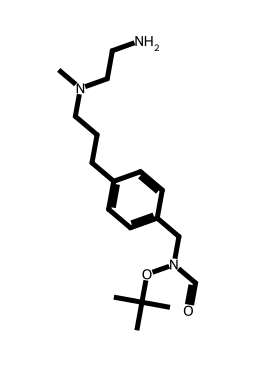 CN(CCN)CCCc1ccc(CN(C=O)OC(C)(C)C)cc1